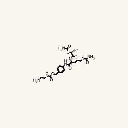 CC(C)[C@H](OC(N)=O)C(=O)N[C@@H](CCCNC(N)=O)C(=O)Nc1ccc(COC(=O)NCCN)cc1